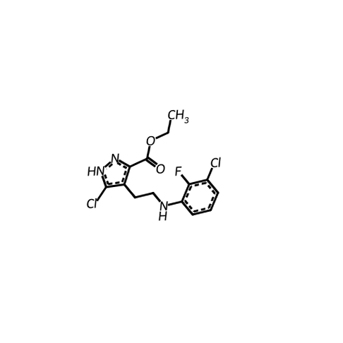 CCOC(=O)c1n[nH]c(Cl)c1CCNc1cccc(Cl)c1F